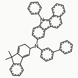 CC1(C)C2=CCC(N(c3cccc(-c4ccccc4)c3)c3ccc4c(c3)c3ccc5ccccc5c3n4-c3ccccc3)C=C2c2ccccc21